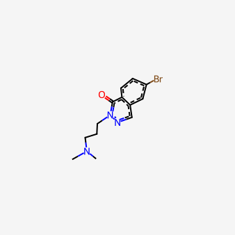 CN(C)CCCn1ncc2cc(Br)ccc2c1=O